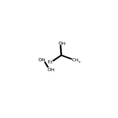 CCC(C)O.O=NO